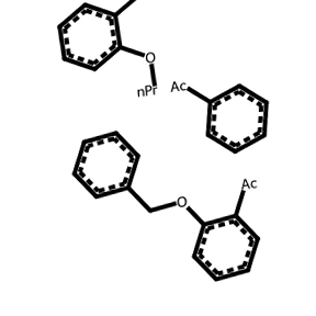 CC(=O)c1ccccc1.CC(=O)c1ccccc1OCc1ccccc1.CCCOc1ccccc1C(C)=O